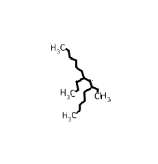 CCCCCCC([CH]C(CC)CCCCC)CCC